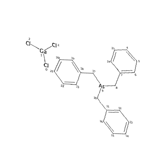 [Cl][Ga]([Cl])[Cl].c1ccc(C[As](Cc2ccccc2)Cc2ccccc2)cc1